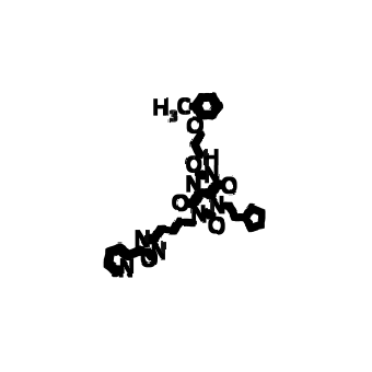 Cc1ccccc1OCCCOc1nc2c(=O)n(CCCCc3noc(-c4ccccn4)n3)c(=O)n(CCC3CCCC3)c2c(=O)[nH]1